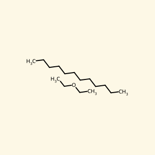 CCCCCCCCCCCC.CCOCC